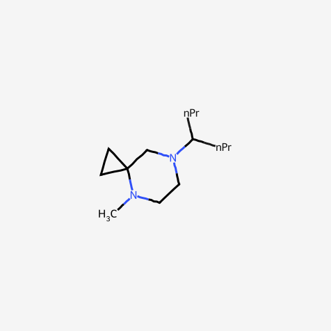 CCCC(CCC)N1CCN(C)C2(CC2)C1